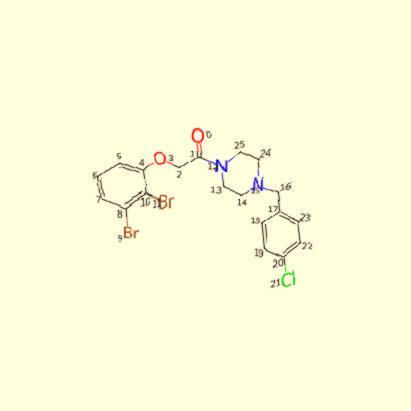 O=C(COc1cccc(Br)c1Br)N1CCN(Cc2ccc(Cl)cc2)CC1